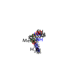 COC(=O)C1=C(CCc2ccccc2NS(C)(=O)=O)NC(CC(=O)N2CCN(C3CC4CCC(C3)N4C)CC2)=C(C(=O)OC)C1c1c(Cl)cccc1Cl